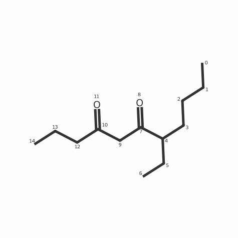 CCCCC(CC)C(=O)CC(=O)CCC